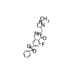 Cn1ccc(Cn2ncc3cc(S(=O)(=O)c4ccccc4)cc(F)c3c2=O)n1